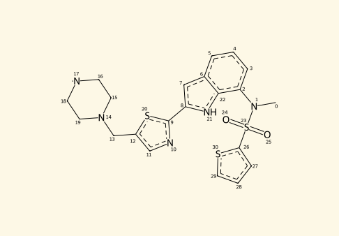 CN(c1cccc2cc(-c3ncc(CN4CC[N]CC4)s3)[nH]c12)S(=O)(=O)c1cccs1